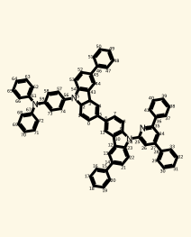 C1=CC2C(C=C1c1ccc3c(c1)c1cc(-c4ccccc4)ccc1n3-c1cc(-c3ccccc3)cc(-c3ccccc3)n1)c1cc(-c3ccccc3)ccc1N2c1ccc(N(c2ccccc2)c2ccccc2)cc1